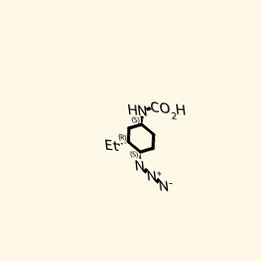 CC[C@@H]1C[C@@H](NC(=O)O)CC[C@@H]1N=[N+]=[N-]